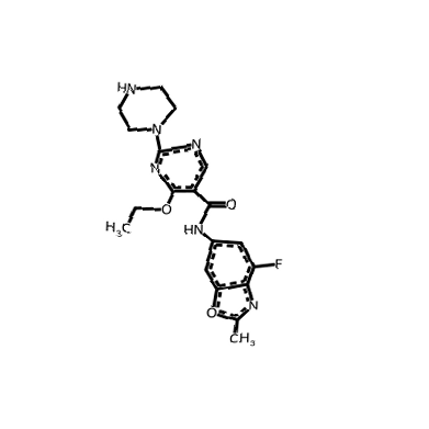 CCOc1nc(N2CCNCC2)ncc1C(=O)Nc1cc(F)c2nc(C)oc2c1